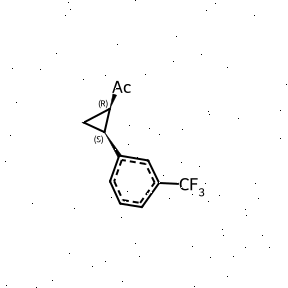 CC(=O)[C@@H]1C[C@@H]1c1cccc(C(F)(F)F)c1